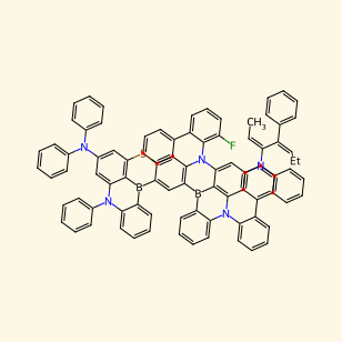 C/C=C(\C(=C/CC)c1ccccc1)N(c1ccccc1)c1cc2c3c(c1)N(c1c(F)cccc1-c1ccccc1)c1cc4c(cc1B3c1ccccc1N2c1ccccc1-c1ccccc1)B1c2ccccc2N(c2ccccc2)c2cc(N(c3ccccc3)c3ccccc3)cc(c21)S4